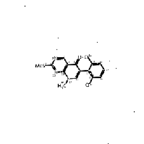 CSc1ncc2c(=O)c(-c3c(Cl)cccc3Cl)cn(C)c2n1